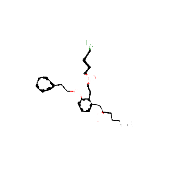 CCCCC(=O)Cc1cccc(OCCc2ccccc2)c1CCOCCCCBr